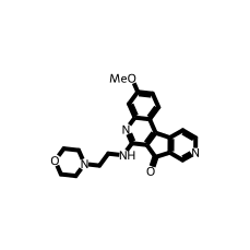 COc1ccc2c3c(c(NCCN4CCOCC4)nc2c1)C(=O)c1cnccc1-3